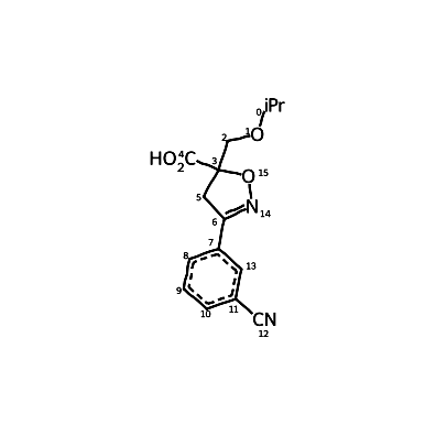 CC(C)OCC1(C(=O)O)CC(c2cccc(C#N)c2)=NO1